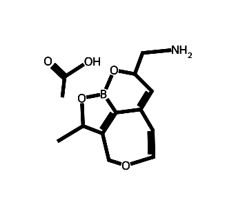 CC(=O)O.CC1OB2OC(CN)C=C3C=COCC1=C23